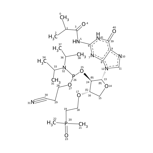 CC(C)C(=O)Nc1nc2c(ncn2[C@@H]2OC[C@H](OCCP(C)(C)=O)[C@H]2OP(OCCC#N)N(C(C)C)C(C)C)c(=O)[nH]1